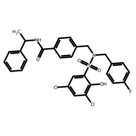 CC(NC(=O)c1ccc(CN(Cc2ccc(F)cc2)S(=O)(=O)c2cc(Cl)cc(Cl)c2O)cc1)c1ccccc1